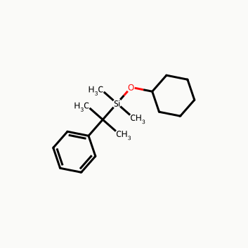 CC(C)(c1ccccc1)[Si](C)(C)OC1CCCCC1